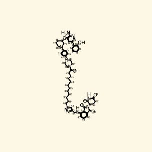 Nc1nnc(-c2ccccc2O)cc1OC1CCCN(c2ccc(N3CCN(C(=O)CCCCCCCCCCCn4cc(CNc5cccc6c5C(=O)N(C5CCC(=O)NC5=O)C6=O)nn4)CC3)cc2)C1